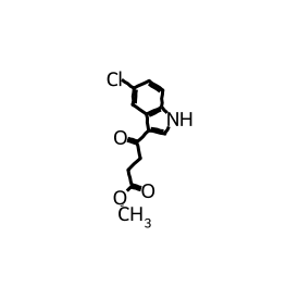 COC(=O)CCC(=O)c1c[nH]c2ccc(Cl)cc12